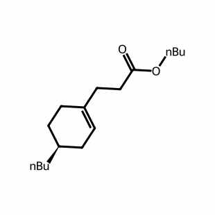 CCCCOC(=O)CCC1=CC[C@@H](CCCC)CC1